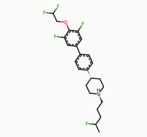 CC(F)CCC[Si@H]1CC[C@H](c2ccc(-c3cc(F)c(OCC(F)F)c(F)c3)cc2)CC1